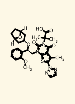 COc1ccccc1[C@H](Cn1c(=O)n(C(C)(C)C(=O)O)c(=O)c2c(C)c(-n3nccn3)sc21)O[C@@H]1C[C@H]2CC[C@@H](C1)O2